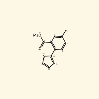 COC(=O)c1cc(C)ccc1-c1nccs1